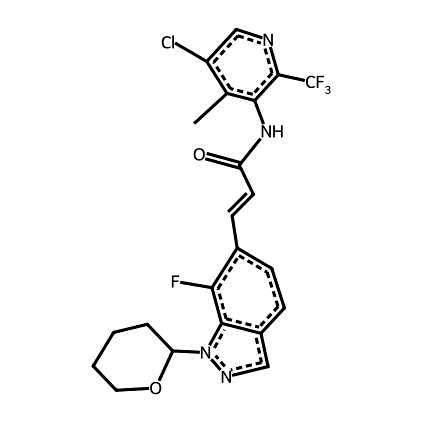 Cc1c(Cl)cnc(C(F)(F)F)c1NC(=O)/C=C/c1ccc2cnn(C3CCCCO3)c2c1F